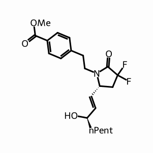 CCCCC[C@@H](O)C=C[C@H]1CC(F)(F)C(=O)N1CCc1ccc(C(=O)OC)cc1